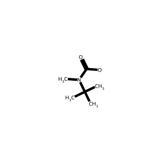 CN(C([O])=O)C(C)(C)C